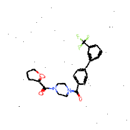 O=C(c1ccc(-c2cccc(C(F)(F)F)c2)cc1)N1CCN(C(=O)C2CCCO2)CC1